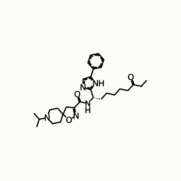 CCC(=O)CCCCC[C@H](NC(=O)C1=NOC2(CCN(C(C)C)CC2)C1)c1ncc(-c2ccccc2)[nH]1